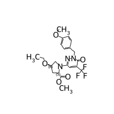 CCO[C@@H]1C[C@@H](C(=O)OC)N(c2cc(C(F)(F)F)c(=O)n(Cc3ccc(OC)cc3)n2)C1